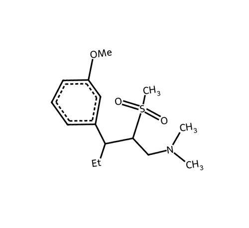 CCC(c1cccc(OC)c1)C(CN(C)C)S(C)(=O)=O